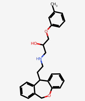 Cc1cccc(OCC(O)CNCCC2c3ccccc3COc3ccccc32)c1